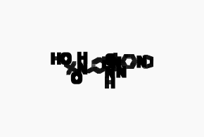 CC(C)(CO)C(=O)NCc1ccc(Cl)c(Nc2nc3cc(N4CCCC4)ccc3[nH]2)c1